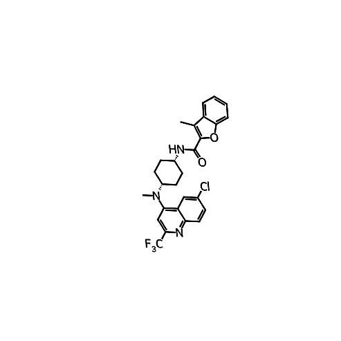 Cc1c(C(=O)N[C@H]2CC[C@@H](N(C)c3cc(C(F)(F)F)nc4ccc(Cl)cc34)CC2)oc2ccccc12